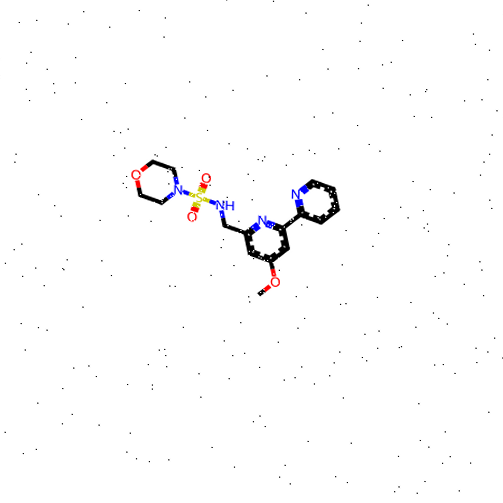 COc1cc(CNS(=O)(=O)N2CCOCC2)nc(-c2ccccn2)c1